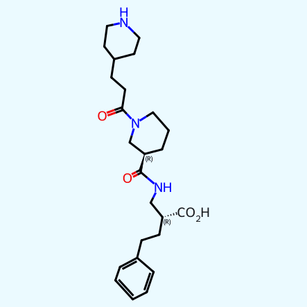 O=C(O)[C@H](CCc1ccccc1)CNC(=O)[C@@H]1CCCN(C(=O)CCC2CCNCC2)C1